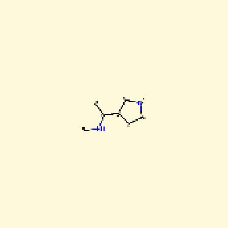 CNC(C)C1CC[N]C1